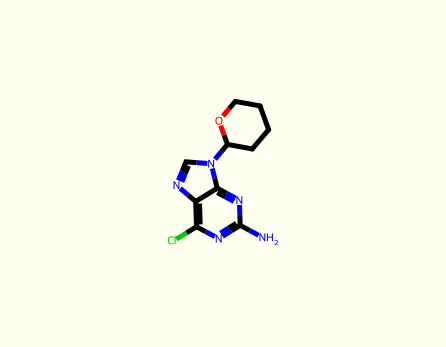 Nc1nc(Cl)c2ncn(C3CCCCO3)c2n1